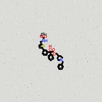 CC(C)(C)OC(=O)NCc1ccc(-c2cccc(C(O)(C(=O)OCC3CCN(Cc4ccccc4)CC3)c3ccccc3)c2)s1